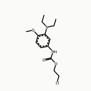 CCN(CC)c1cc(NC(=O)OCCCl)ccc1OC